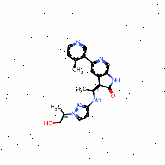 C/C(Nc1ccn([C@H](C)CO)n1)=C1/C(=O)Nc2cnc(-c3cnccc3C)cc21